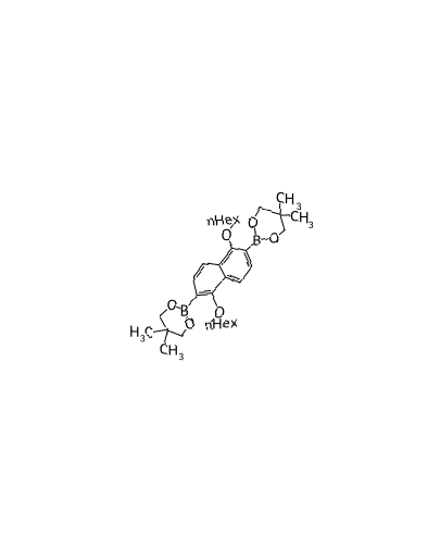 CCCCCCOc1c(B2OCC(C)(C)CO2)ccc2c(OCCCCCC)c(B3OCC(C)(C)CO3)ccc12